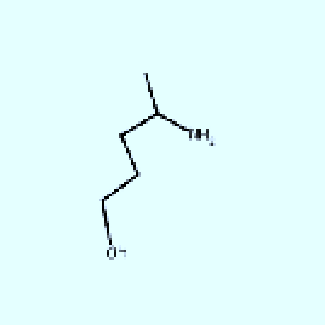 CC(N)CCCO